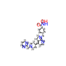 O=C(NO)c1ccc(Cn2ccc3c(C4CCN(Cc5ncccn5)CC4)ccnc32)cc1